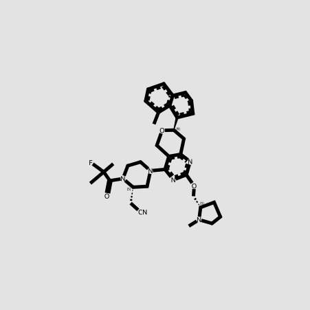 Cc1cccc2cccc([C@H]3Cc4nc(OC[C@@H]5CCCN5C)nc(N5CCN(C(=O)C(C)(C)F)[C@@H](CC#N)C5)c4CO3)c12